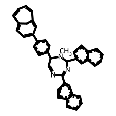 CN1C(c2ccc(C3=CC=C4C=CC=CC(=C3)C4)cc2)C=NC(c2ccc3ccccc3c2)=NC1c1ccc2ccccc2c1